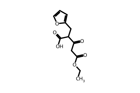 CCOC(=O)CC(=O)C(Cc1ccco1)C(=O)O